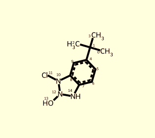 CC(C)(C)c1ccc2c(c1)N(Cl)N(O)N2